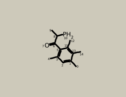 Cc1cc(C)c(C(=O)C(C)P)c(C)c1C